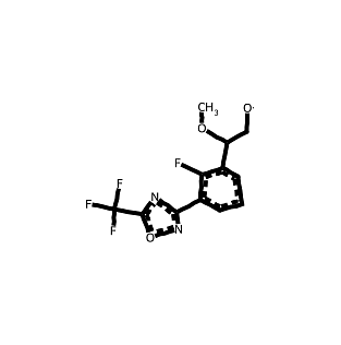 COC(C[O])c1cccc(-c2noc(C(F)(F)F)n2)c1F